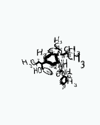 CCCC(C(=O)O)c1ccc(N(CC(C)C)CC(C)C)c(NC(=O)Nc2ccccc2C)c1